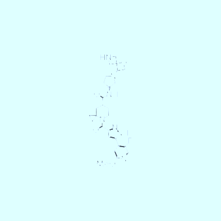 COc1cc(-c2cc(C(=O)N3CC[C@H](C(=O)N[C@H]4CCN([C@H]5COC56CNC6)C4)CC34CC4)n[nH]2)c(F)cn1